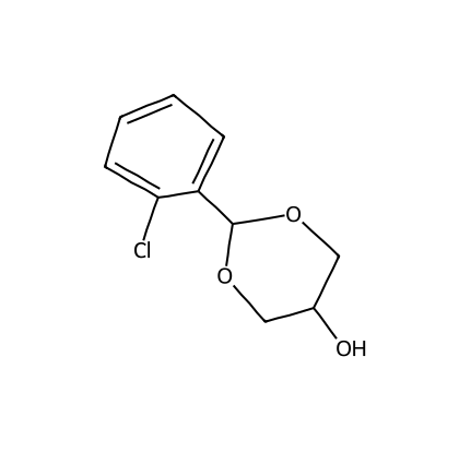 OC1COC(c2ccccc2Cl)OC1